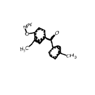 CCCOc1ccc(C(=O)c2cccc(C)c2)cc1C